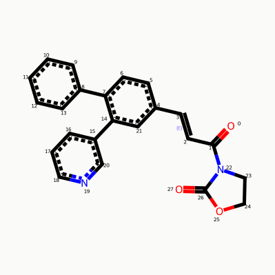 O=C(/C=C/c1ccc(-c2ccccc2)c(-c2cccnc2)c1)N1CCOC1=O